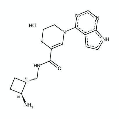 Cl.N[C@H]1CC[C@@H]1CNC(=O)C1=CN(c2ncnc3[nH]ccc23)CCS1